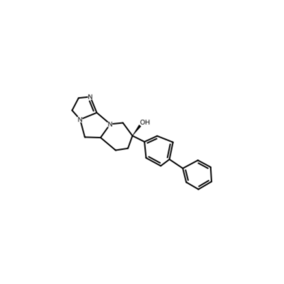 O[C@@]1(c2ccc(-c3ccccc3)cc2)CCC2CN3CCN=C3N2C1